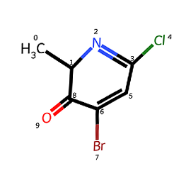 CC1N=C(Cl)C=C(Br)C1=O